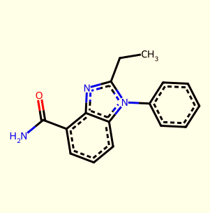 CCc1nc2c(C(N)=O)cccc2n1-c1ccccc1